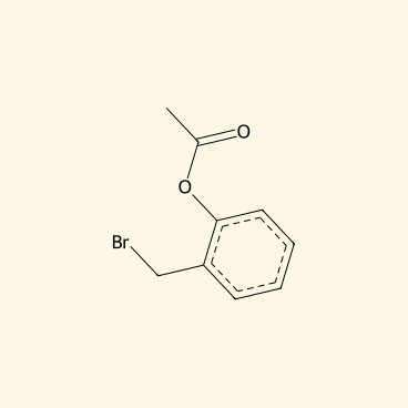 CC(=O)Oc1ccccc1CBr